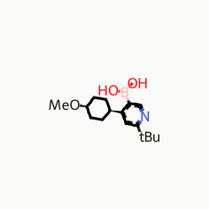 CO[C@H]1CC[C@@H](c2cc(C(C)(C)C)ncc2B(O)O)CC1